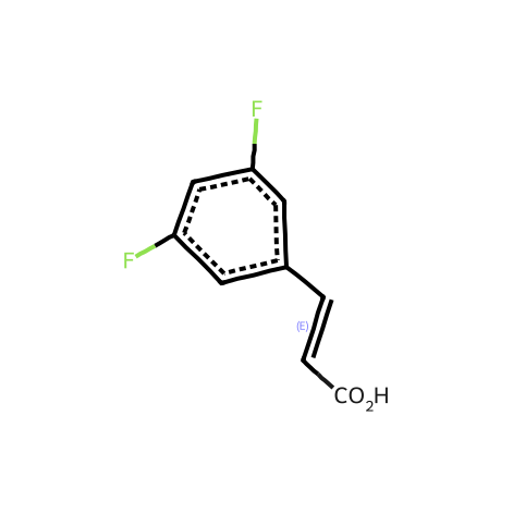 O=C(O)/C=C/c1cc(F)cc(F)c1